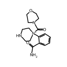 NC(=O)c1ccccc1[N+]1(C(=O)N2CCOCC2)CCNCC1